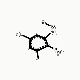 Cc1cc([N+](=O)[O-])cc([N+](=O)[O-])c1O.O=[N+]([O-])O.[Pd+2]